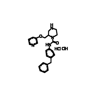 Cl.Cl.O=C(Nc1ccc(Cc2ccccc2)cc1)N1CCNCC1COc1cccnc1